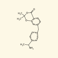 CC(N)c1ccc(Cc2ccc3c(c2)OC(C)(C)OC3=O)cc1